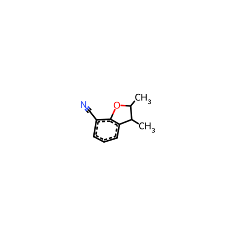 CC1Oc2c(C#N)cccc2C1C